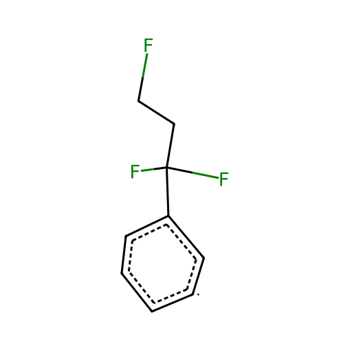 FCCC(F)(F)c1c[c]ccc1